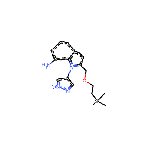 C[Si](C)(C)CCOCc1cc2cccc(N)c2n1-c1cn[nH]c1